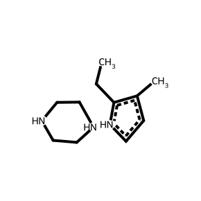 C1CNCCN1.CCc1[nH]ccc1C